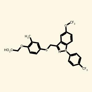 Cc1cc(SCc2nn(-c3ccc(C(F)(F)F)cc3)c3ccc(OC(F)(F)F)cc23)ccc1OCC(=O)O